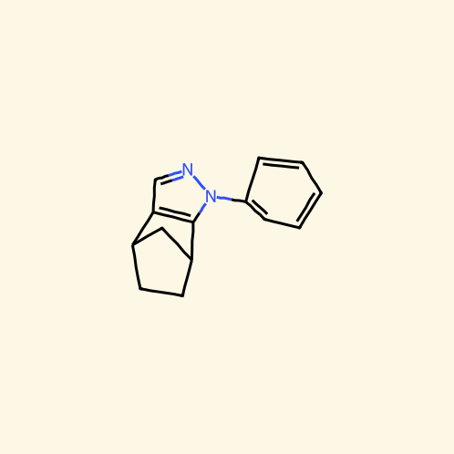 c1ccc(-n2ncc3c2C2CCC3C2)cc1